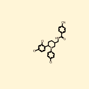 N#Cc1ccc(C(=O)NCC2CCC(c3ccc(Cl)cc3Cl)N(c3ccc(Cl)cc3)C2)cc1